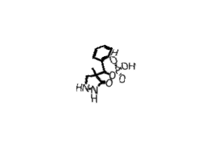 CC1(C(OP(=O)(O)O)c2ccccc2)CNNC1=O